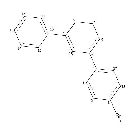 Brc1ccc(C2=CCCC(c3ccccc3)=C2)cc1